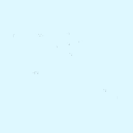 COc1cc(Nc2ccc3c(C4CCN(C)CC4)cn([Si](C(C)C)(C(C)C)C(C)C)c3c2)ccc1F